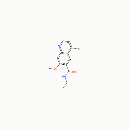 CCNC(=O)c1cc2c(Cl)ccnc2cc1OC